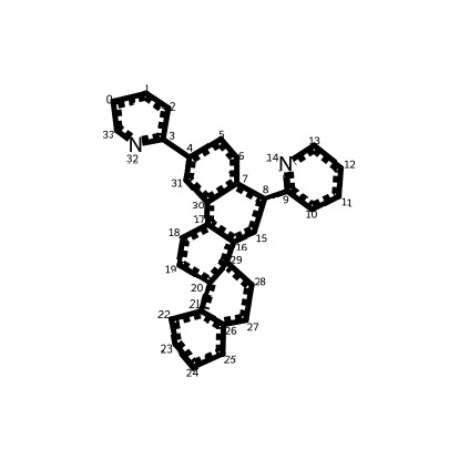 c1ccc(-c2ccc3c(-c4ccccn4)cc4c(ccc5c6ccccc6ccc54)c3c2)nc1